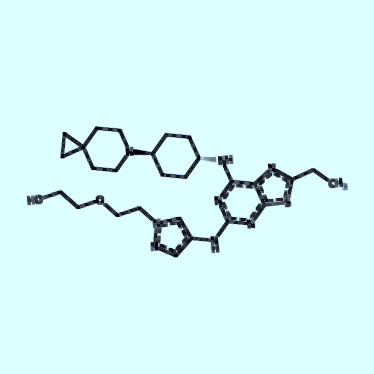 CCc1nc2c(N[C@H]3CC[C@H](N4CCC5(CC4)CC5)CC3)nc(Nc3cnn(CCOCCO)c3)nc2s1